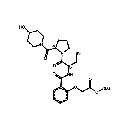 CC(C)C[C@@H](NC(=O)c1ccccc1OCC(=O)OC(C)(C)C)C(=O)N1CCC[C@@H]1C(=O)N1CCC(O)CC1